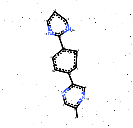 Cc1cnc(-c2ccc(-c3ncccn3)cc2)cn1